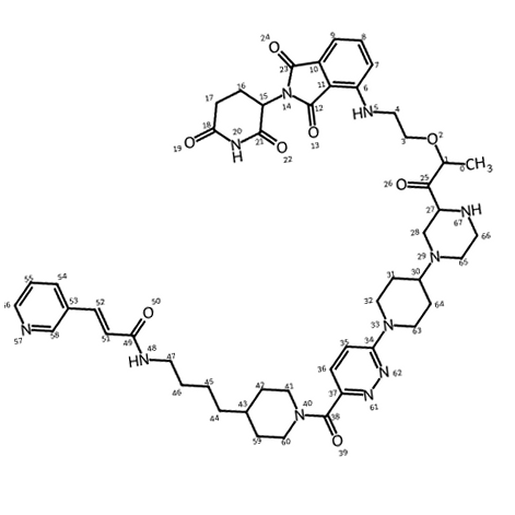 CC(OCCNc1cccc2c1C(=O)N(C1CCC(=O)NC1=O)C2=O)C(=O)C1CN(C2CCN(c3ccc(C(=O)N4CCC(CCCCNC(=O)/C=C/c5cccnc5)CC4)nn3)CC2)CCN1